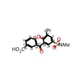 CNS(=O)(=O)c1cc(C(C)C)c2oc3ccc(C(=O)O)cc3c(=O)c2c1